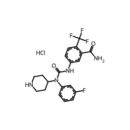 Cl.NC(=O)c1cc(NC(=O)N(c2cccc(F)c2)C2CCNCC2)ccc1C(F)(F)F